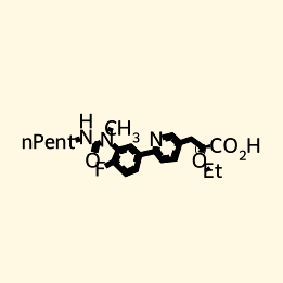 CCCCCNC(=O)N(C)c1cc(-c2ccc(C[C@H](OCC)C(=O)O)cn2)ccc1F